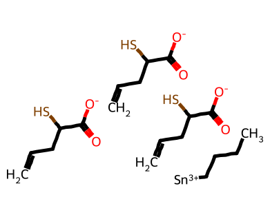 C=CCC(S)C(=O)[O-].C=CCC(S)C(=O)[O-].C=CCC(S)C(=O)[O-].CCC[CH2][Sn+3]